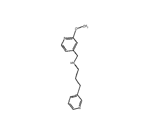 COc1cc(CNCCCc2cccnc2)ccn1